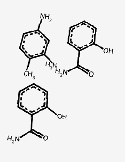 Cc1ccc(N)cc1N.NC(=O)c1ccccc1O.NC(=O)c1ccccc1O